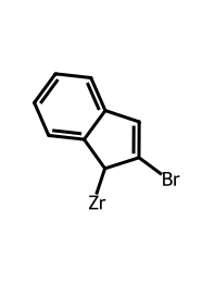 BrC1=Cc2ccccc2[CH]1[Zr]